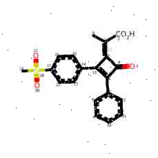 C/C(C(=O)O)=C1/C(=O)C(c2ccccc2)=C1c1ccc(S(C)(=O)=O)cc1